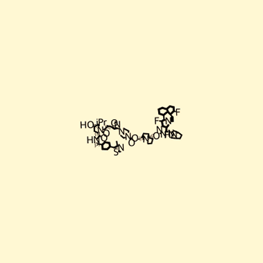 C#Cc1c(F)ccc2cccc(-c3ncc4c(N5CC6CCC(C5)N6)nc(OC[C@]56CCCN5[C@H](COC(=O)N5CCN(c7cc([C@H](C(=O)N8C[C@H](O)C[C@H]8C(=O)N[C@@H](C)c8ccc(-c9scnc9C)cc8)C(C)C)on7)CC5)CC6)nc4c3F)c12